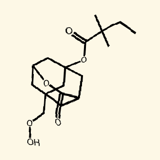 CCC(C)(C)C(=O)OC12CC3CC(COO)(CC(C1)C(=O)O3)C2